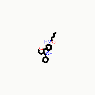 CCCCC(=O)Nc1ccc2c(c1)C1OCCCC1[C@H](C1CCCCC1)N2